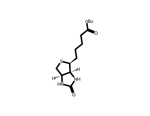 CCCCC(=O)CCCC[C@@H]1SC[C@@H]2NC(=O)N[C@@H]21